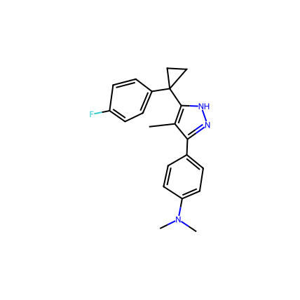 Cc1c(-c2ccc(N(C)C)cc2)n[nH]c1C1(c2ccc(F)cc2)CC1